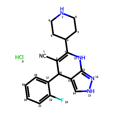 Cl.N#CC1=C(C2CCNCC2)Nc2n[nH]cc2C1c1ccccc1F